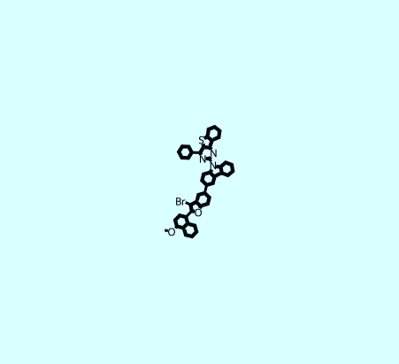 COc1ccc(-c2oc3ccc(-c4ccc5c(c4)c4ccccc4n5-c4nc(-c5ccccc5)c5sc6ccccc6c5n4)cc3c2Br)c2ccccc12